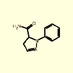 NC(=O)C1CC=NN1c1ccccc1